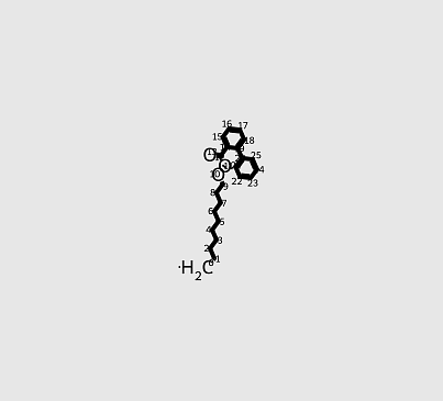 [CH2]CCCCCCCCCOOC(=O)c1ccccc1-c1ccccc1